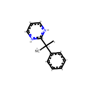 CC(C#N)(c1ccccc1)c1ncccn1